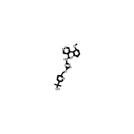 COc1cccc(F)c1-c1cnncc1C(=O)Nc1nnc(OCc2ccc(C(C)(C)O)cn2)s1